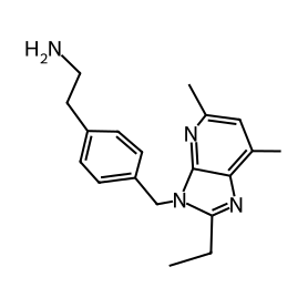 CCc1nc2c(C)cc(C)nc2n1Cc1ccc(CCN)cc1